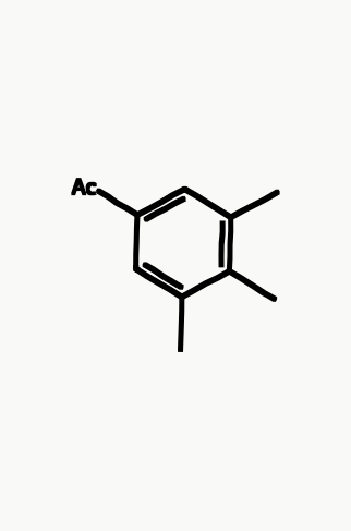 CC(=O)c1cc(C)c(C)c(C)c1